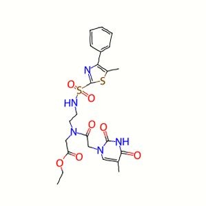 CCOC(=O)CN(CCNS(=O)(=O)c1nc(-c2ccccc2)c(C)s1)C(=O)Cn1cc(C)c(=O)[nH]c1=O